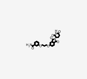 NC(=O)c1cccc(OCCCOc2ccc3c(c2)C(=O)N(C2CCC(=O)NC2=O)C3=O)c1